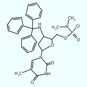 Cc1cn(C2CC(NC(c3ccccc3)(c3ccccc3)c3ccccc3)C(COP(=O)(Cl)N(C)C)O2)c(=O)[nH]c1=O